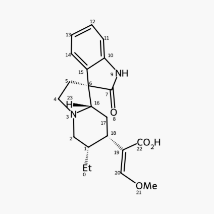 CC[C@@H]1CN2CC[C@]3(C(=O)Nc4ccccc43)[C@@H]2C[C@@H]1/C(=C/OC)C(=O)O